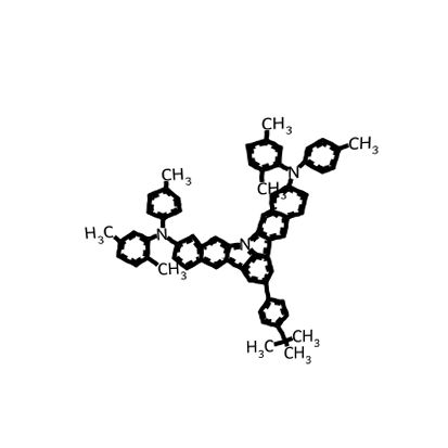 Cc1ccc(N(c2ccc3cc4c5cc(-c6ccc(C(C)(C)C)cc6)cc6c7cc8ccc(N(c9ccc(C)cc9)c9cc(C)ccc9C)cc8cc7n(c4cc3c2)c56)c2cc(C)ccc2C)cc1